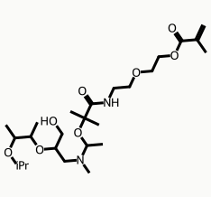 C=C(C)C(=O)OCCOCCNC(=O)C(C)(C)OC(C)N(C)CC(CO)OC(C)C(C)OC(C)C